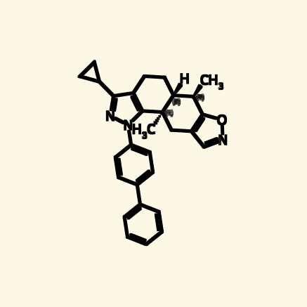 C[C@H]1c2oncc2C[C@@]2(C)c3c(c(C4CC4)nn3-c3ccc(-c4ccccc4)cc3)CC[C@H]12